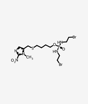 Cn1c(CSCCCCOP(=O)(NCCBr)NCCBr)cnc1[N+](=O)[O-]